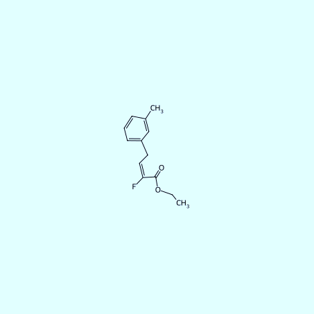 CCOC(=O)/C(F)=C\Cc1cccc(C)c1